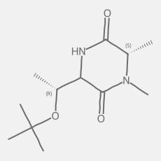 C[C@@H](OC(C)(C)C)C1NC(=O)[C@H](C)N(C)C1=O